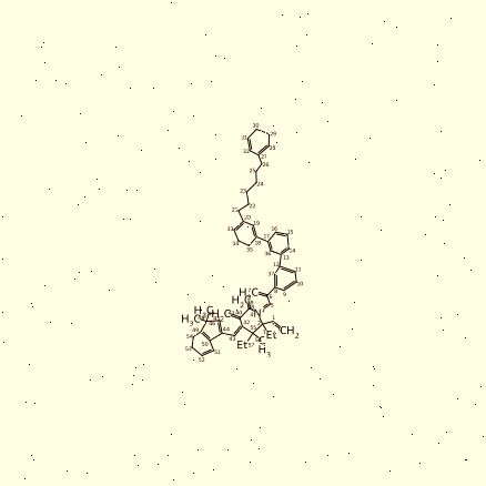 C=CC1(CC)/[N+](=C/C(=C)c2cccc(-c3cccc(C4=CC(CCCCCCC5=CCCC=C5)=CCC4)c3)c2)C(=C)C(=C)/C(=C\C2=CC(C)(C)C3=C2C=CCC3)C1(C)CC